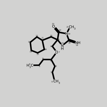 CCCC(CCC)OCC1(CC2CCCCC2)NC(=N)N(C)C1=O